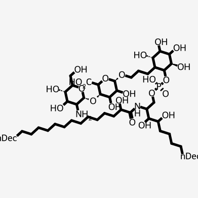 CCCCCCCCCCCCCCCCCCCCCCC(O)C(=O)NC(COP(=O)(O)OC1C(CCCO[C@H]2OC(C(=O)O)[C@@H](O[C@H]3OC(CO)[C@@H](O)C(O)C3N)C(O)C2O)[C@H](O)C(O)C(O)[C@H]1O)C(O)C(O)CCCCCCCCCCCCCC